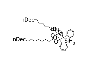 CCCCCCCCCCCCCCCCCC(=O)OC([SiH3])(c1ccccc1)C(COC(C)(C)C)(OC(=O)CCCCCCCCCCCCCCCCC)c1ccccc1